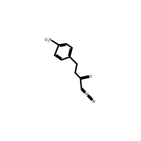 [N-]=[N+]=CC(=O)[CH]Cc1ccc([N+](=O)[O-])cc1